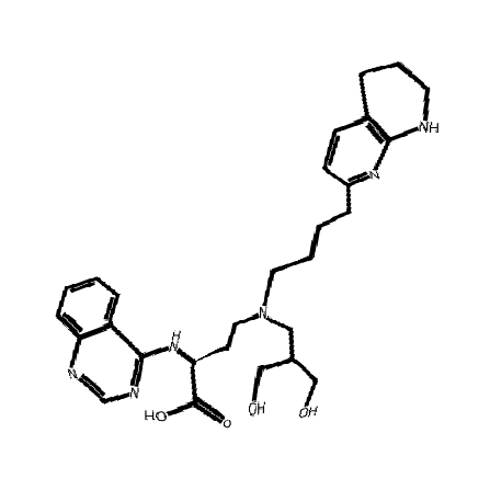 O=C(O)[C@H](CCN(CCCCc1ccc2c(n1)NCCC2)CC(CO)CO)Nc1ncnc2ccccc12